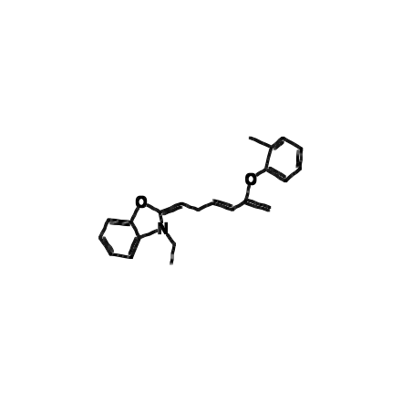 C=C(C=CCC=C1Oc2ccccc2N1CC)Oc1ccccc1C